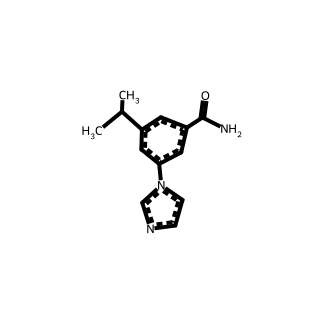 CC(C)c1cc(C(N)=O)cc(-n2ccnc2)c1